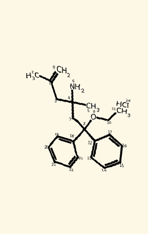 C=C(C)CC(C)(N)CC(OCC)(c1ccccc1)c1ccccc1.Cl